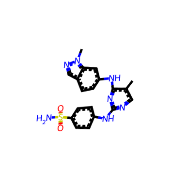 Cc1cnc(Nc2ccc(S(N)(=O)=O)cc2)nc1Nc1ccc2cnn(C)c2c1